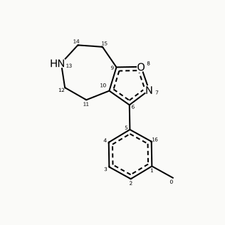 Cc1cccc(-c2noc3c2CCNCC3)c1